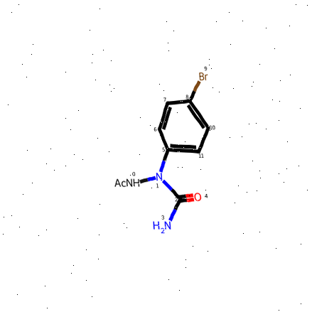 CC(=O)NN(C(N)=O)c1ccc(Br)cc1